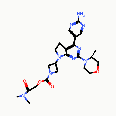 C[C@H]1COCCN1c1nc(-c2cnc(N)nc2)c2c(n1)N(C1CN(C(=O)OCC(=O)N(C)C)C1)CC2